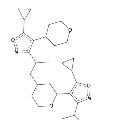 CC(C)c1noc(C2CC2)c1C1CC(CC(C)c2noc(C3CC3)c2C2CCOCC2)CCO1